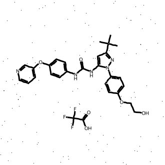 CC(C)(C)c1cc(NC(=O)Nc2ccc(Oc3cccnc3)cc2)n(-c2ccc(OCCO)cc2)n1.O=C(O)C(F)(F)F